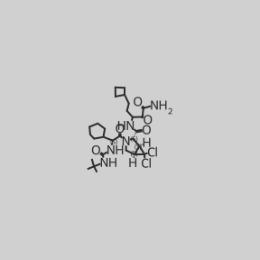 CC(C)(C)NC(=O)N[C@H](C(=O)N1C[C@H]2[C@@H]([C@H]1C(=O)NC(CCC1CCC1)C(=O)C(N)=O)C2(Cl)Cl)C1CCCCC1